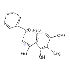 COc1cc(OC)c(/C(O)=C\C(=O)c2ccccc2)c(O)c1C